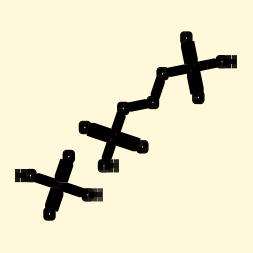 O=S(=O)(O)O.O=S(=O)(O)OOOS(=O)(=O)O